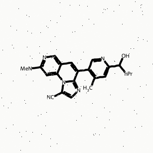 CCCC(O)c1cc(C)c(-c2cc3cnc(NC)cc3n3c(C#N)cnc23)cn1